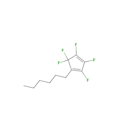 CCCCCCC1=C(F)C(F)=C(F)C1(F)F